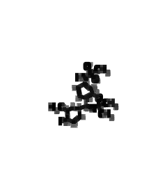 Cc1cc(C2=NC(C)(C)Oc3cc(NS(C)(=O)=O)ccc32)ccc1F